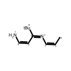 C\C=C/N=C(\C=C/N)C(C)(C)C